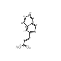 O=C(O)C=Cc1ccc2cnccc2c1